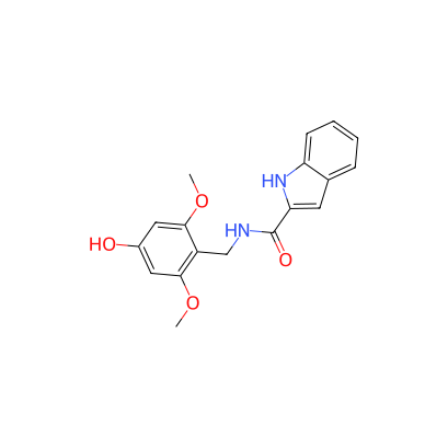 COc1cc(O)cc(OC)c1CNC(=O)c1cc2ccccc2[nH]1